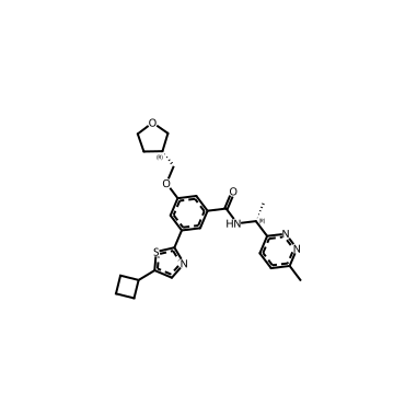 Cc1ccc([C@@H](C)NC(=O)c2cc(OC[C@@H]3CCOC3)cc(-c3ncc(C4CCC4)s3)c2)nn1